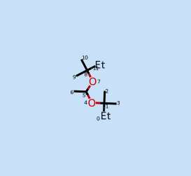 CCC(C)(C)O[C](C)OC(C)(C)CC